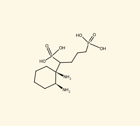 N[C@H]1CCCC[C@]1(N)C(CCCP(=O)(O)O)P(=O)(O)O